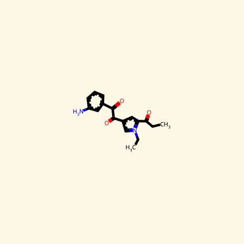 CCC(=O)c1cc(C(=O)C(=O)c2cccc(N)c2)cn1CC